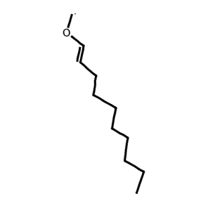 [CH2]O/C=C/CCCCCCCC